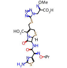 CON=C(Cn1nnnc1SCC1=C(C(=O)O)N2C(=O)C(NC(=O)C(=NOC(C)C)c3csc(N)n3)[C@@H]2SC1)C(=O)O